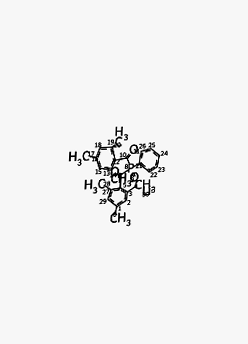 Cc1cc(C)c(C(=O)P(=O)(C(=O)c2c(C)cc(C)cc2C)c2ccccc2)c(C)c1.[Li]